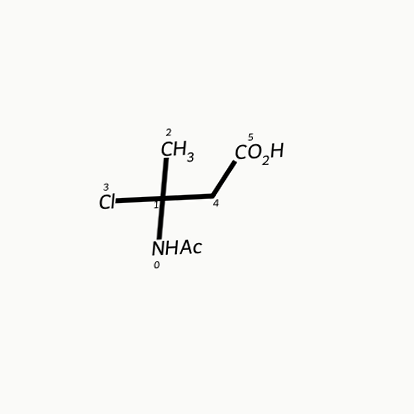 CC(=O)NC(C)(Cl)CC(=O)O